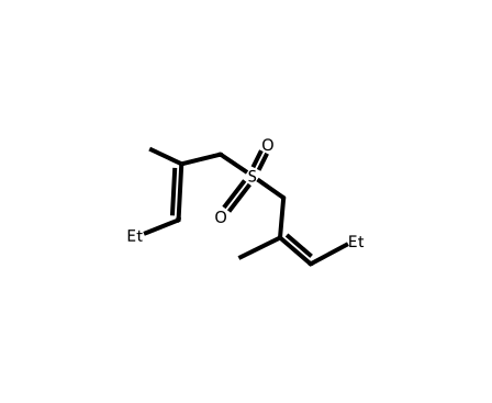 CCC=C(C)CS(=O)(=O)CC(C)=CCC